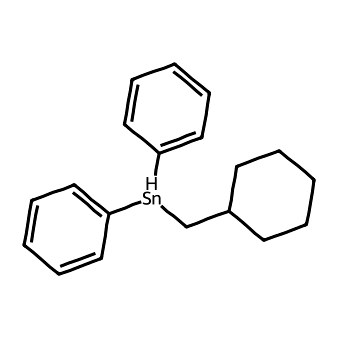 c1cc[c]([SnH]([CH2]C2CCCCC2)[c]2ccccc2)cc1